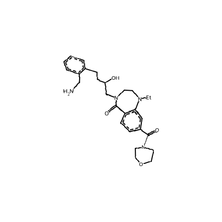 CCN1CCN(CC(O)CCc2ccccc2CN)C(=O)c2ccc(C(=O)N3CCOCC3)cc21